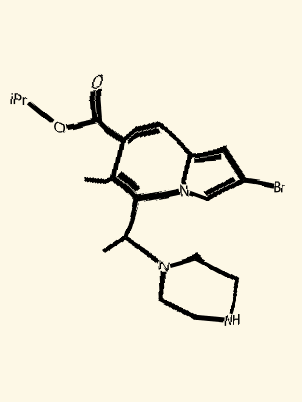 Cc1c(C(=O)OC(C)C)cc2cc(Br)cn2c1C(C)N1CCNCC1